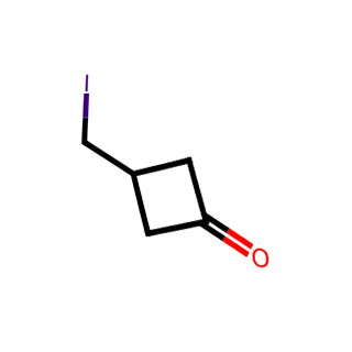 O=C1CC(CI)C1